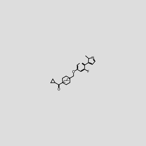 C=C(C1=CC=NC1C)/C(F)=C\C(=C/C)OCC12CCC(C(=O)C3CC3)(CC1)CC2